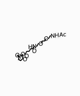 CC(=O)NCCOCCOCCNC(=O)CCCC(=O)ON1C(=O)CCC1=O